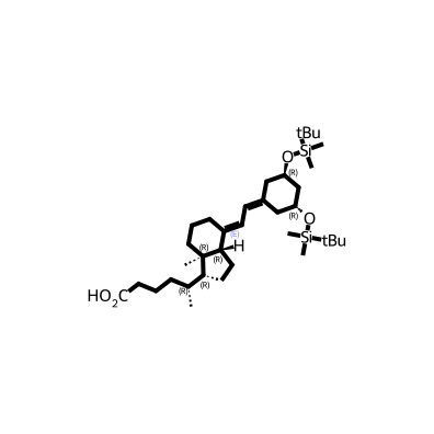 C[C@H](CCCC(=O)O)[C@H]1CC[C@H]2/C(=C/C=C3C[C@@H](O[Si](C)(C)C(C)(C)C)C[C@H](O[Si](C)(C)C(C)(C)C)C3)CCC[C@]12C